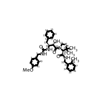 COc1ccc(CNC(=O)N[C@@H](Cc2ccccc2)[C@H](O)C(=O)N2CSC(C)(C)[C@H]2C(=O)NCc2ccccc2C)cc1